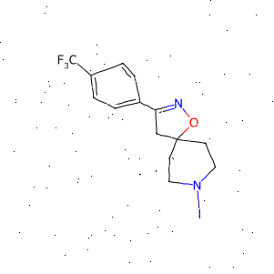 FC(F)(F)c1ccc(C2=NOC3(CCN(I)CC3)C2)cc1